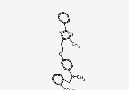 CCOC(=O)c1ccccc1CN(C)c1ccc(OCCc2nc(-c3ccccc3)oc2C)cc1